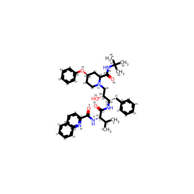 CC(C)[C@H](NC(=O)c1ccc2ccccc2n1)C(=O)N[C@@H](Cc1ccccc1)[C@H](O)CN1CC[C@@H](Oc2ccccc2)CC1C(=O)NC(C)(C)C